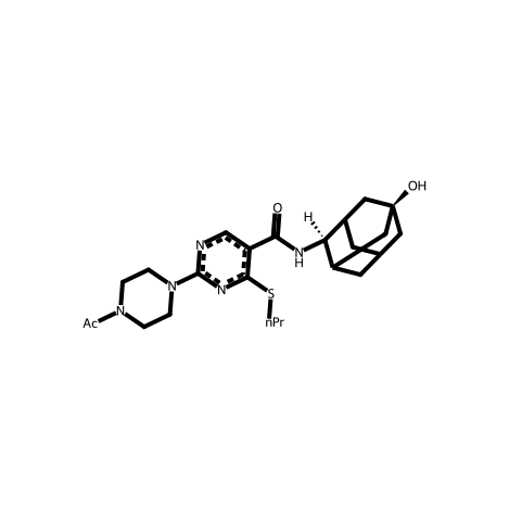 CCCSc1nc(N2CCN(C(C)=O)CC2)ncc1C(=O)N[C@H]1C2CC3CC1C[C@@](O)(C3)C2